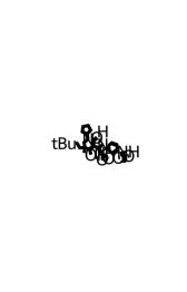 CC(C)(C)CCC1(C)CN(C2CCCC2)C(=O)C(C2=NS(=O)(=O)c3cc(NS(C)(=O)=O)ccc3N2)=C1O